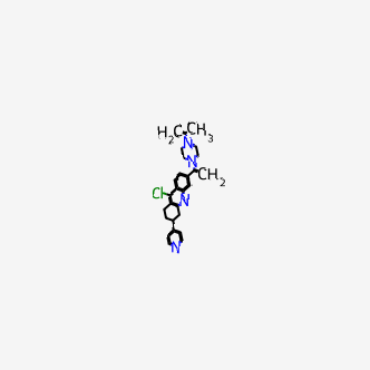 C=C(C)N1CCN(C(=C)c2ccc3c(Cl)c4c(nc3c2)CC(c2ccncc2)CC4)CC1